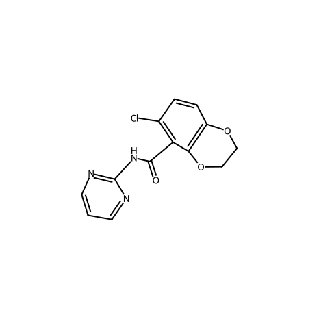 O=C(Nc1ncccn1)c1c(Cl)ccc2c1OCCO2